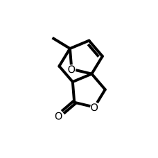 CC12C=CC3(COC(=O)C3C1)O2